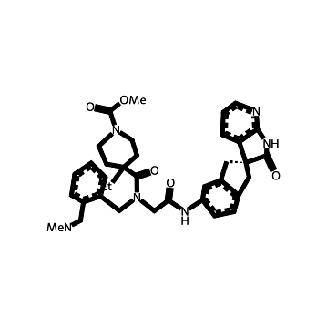 CCC1(C(=O)N(CC(=O)Nc2ccc3c(c2)C[C@@]2(C3)C(=O)Nc3ncccc32)Cc2ccccc2CNC)CCN(C(=O)OC)CC1